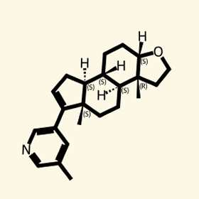 Cc1cncc(C2=CC[C@H]3[C@@H]4CC[C@@H]5OCC[C@]5(C)[C@H]4CC[C@]23C)c1